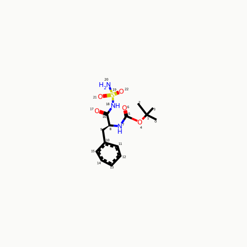 CC(C)(C)OC(=O)N[C@@H](Cc1ccccc1)C(=O)NS(N)(=O)=O